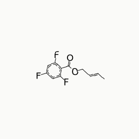 C/C=C/COC(=O)c1c(F)cc(F)cc1F